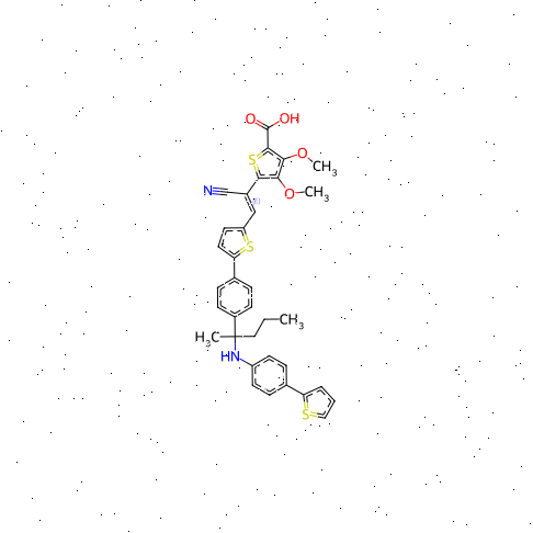 CCCC(C)(Nc1ccc(-c2cccs2)cc1)c1ccc(-c2ccc(/C=C(\C#N)c3sc(C(=O)O)c(OC)c3OC)s2)cc1